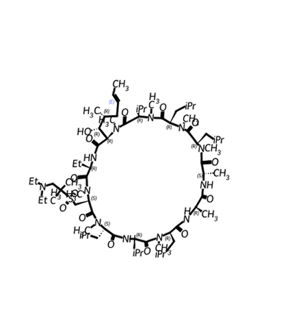 C/C=C/C[C@@H](C)[C@@H](O)[C@@H]1C(=O)N[C@H](CC)C(=O)N(C)[C@H](CS(=O)(=O)C(C)(C)CN(CC)CC)C(=O)N(C)[C@@H](CC(C)C)C(=O)N[C@H](C(C)C)C(=O)N(C)[C@H](CC(C)C)C(=O)N[C@H](C)C(=O)N[C@@H](C)C(=O)N(C)[C@H](CC(C)C)C(=O)N(C)[C@H](CC(C)C)C(=O)N(C)[C@H](C(C)C)C(=O)N1C